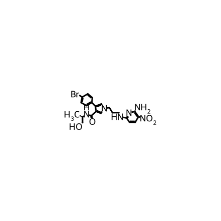 C[C@H](CO)NC(=O)c1cn(CCCNc2ccc([N+](=O)[O-])c(N)n2)cc1-c1ccc(Br)cc1